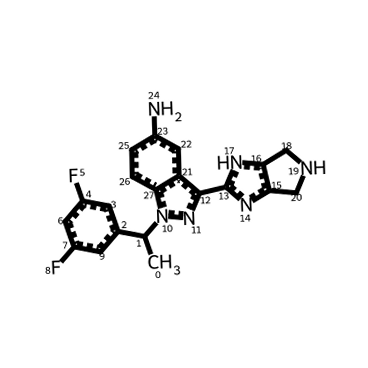 CC(c1cc(F)cc(F)c1)n1nc(-c2nc3c([nH]2)CNC3)c2cc(N)ccc21